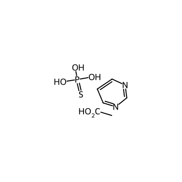 CC(=O)O.OP(O)(O)=S.c1cncnc1